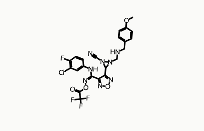 COc1ccc(CNCN2C(c3nonc3/C(=N\OC(=O)C(F)(F)F)Nc3ccc(F)c(Cl)c3)N2C#N)cc1